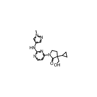 Cn1cc(Nc2nccc(N3CCC(CO)(C4CC4)C3=O)n2)cn1